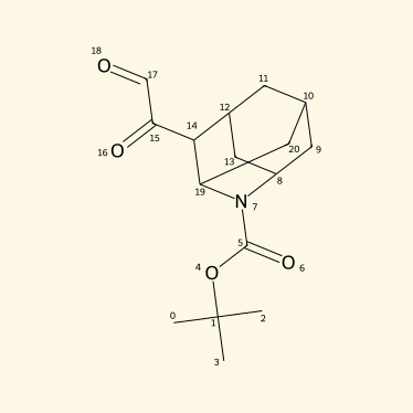 CC(C)(C)OC(=O)N1C2CC3CC(C2)C(C(=O)C=O)C1C3